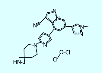 ClOCl.Cn1cc(-c2cc(-c3ccc(N4CCC5(CC4)CNC5)nc3)c3c(C#N)cnn3c2)cn1